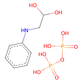 O=P(O)(O)OP(=O)(O)O.OC(O)CNc1ccccc1